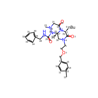 CCCC[C@H]1C(=O)N(CCOCc2ccc(C)cc2)C[C@H]2N1C(=O)CN(C)N2C(=O)NCc1ccccc1